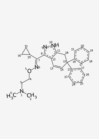 CN(C)CCON=C(c1n[nH]c2c1C=CC(c1ccccc1)(c1ccccc1)C2)C1CC1